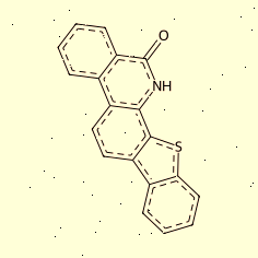 O=c1[nH]c2c(ccc3c4ccccc4sc32)c2ccccc12